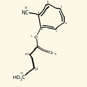 N#Cc1ccccc1OC(=O)CCC(=O)O